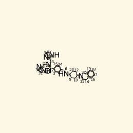 O=C(c1ccc(CNC2CCC(N3C=Cc4ccccc4C3)CC2)cc1)N(Cc1ncc[nH]1)Cc1ncc[nH]1